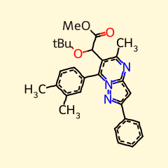 COC(=O)C(OC(C)(C)C)c1c(C)nc2cc(-c3ccccc3)nn2c1-c1ccc(C)c(C)c1